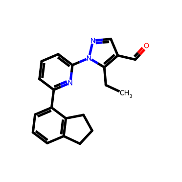 CCc1c(C=O)cnn1-c1cccc(-c2cccc3c2CCC3)n1